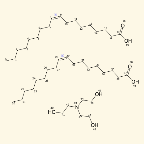 CCCCCCCC/C=C\CCCCCCCC(=O)O.CCCCCCCC/C=C\CCCCCCCC(=O)O.OCCN(CCO)CCO